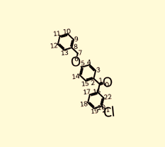 O=C(c1ccc(OCc2ccccc2)cc1)c1cccc(Cl)c1